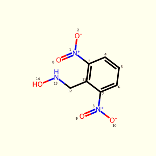 O=[N+]([O-])c1cccc([N+](=O)[O-])c1CNO